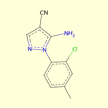 Cc1ccc(-n2ncc(C#N)c2N)c(Cl)c1